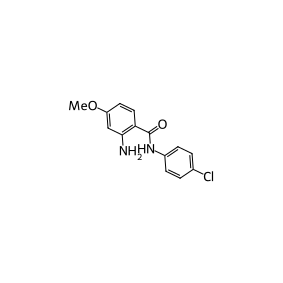 COc1ccc(C(=O)Nc2ccc(Cl)cc2)c(N)c1